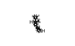 Cc1cc(-c2[nH]c3ccc(-c4nc5c(s4)CCNC5)cc3c2C(C)C)cc(C)n1